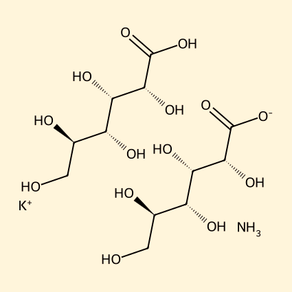 N.O=C(O)[C@H](O)[C@@H](O)[C@H](O)[C@H](O)CO.O=C([O-])[C@H](O)[C@@H](O)[C@H](O)[C@H](O)CO.[K+]